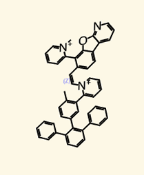 Cc1ccc(-c2c(-c3ccccc3)cccc2-c2ccccc2)cc1-c1cccc[n+]1/C=C\c1ccc2c(oc3ncccc32)c1-c1cccc[n+]1C